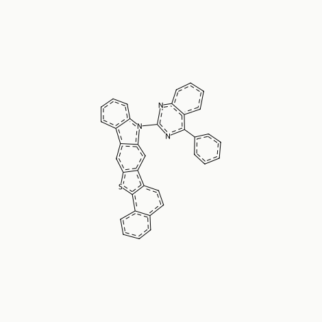 c1ccc(-c2nc(-n3c4ccccc4c4cc5sc6c7ccccc7ccc6c5cc43)nc3ccccc23)cc1